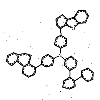 c1ccc(-c2ccccc2-c2cccc(N(c3ccc(-c4cccc5c4ccc4ccccc45)cc3)c3ccc(-c4cccc5c4oc4ccccc45)cc3)c2)cc1